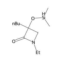 CCCCC1(O[SiH](C)C)CN(CC)C1=O